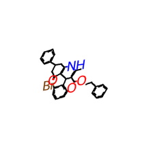 CC1=C(C(=O)OCCc2ccccc2)C(c2ccccc2Br)C2=C(CC(c3ccccc3)CC2=O)N1